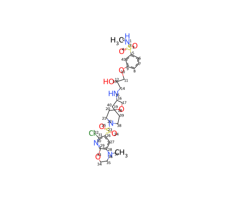 CNS(=O)(=O)c1cccc(OCC(O)CNC2COC3(CCN(S(=O)(=O)c4cc5c(nc4Cl)OCCN5C)CC3)C2)c1